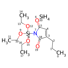 CCCC1=CC(=O)N([Si](OCC)(OCC)OCC)C1=O.[SiH4]